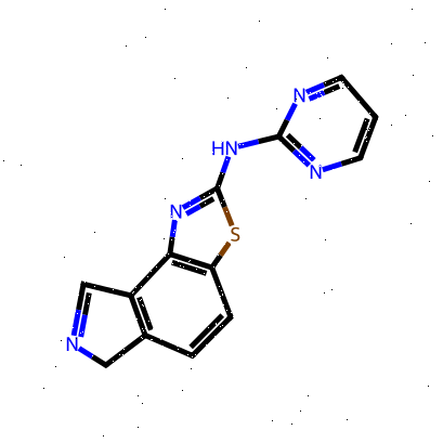 C1=NCc2ccc3sc(Nc4ncccn4)nc3c21